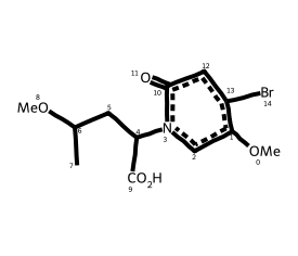 COc1cn(C(CC(C)OC)C(=O)O)c(=O)cc1Br